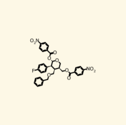 O=C(OC[C@@H]1CO[C@@H](OC(=O)c2ccc([N+](=O)[O-])cc2)[C@H](c2ccc(F)cc2)[C@@H]1COCc1ccccc1)c1ccc([N+](=O)[O-])cc1